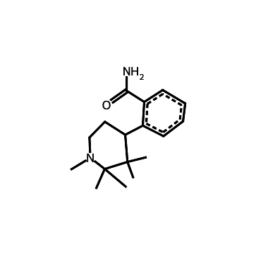 CN1CCC(c2ccccc2C(N)=O)C(C)(C)C1(C)C